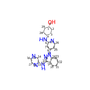 O[C@H]1CC[C@H](Nc2cc(-n3nc(Nc4cnccn4)c4ccccc43)ccn2)CC1